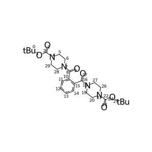 CC(C)(C)OC(=O)N1CCN(C(=O)c2ccccc2C(=O)N2CCN(C(=O)OC(C)(C)C)CC2)CC1